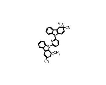 C[C@H]1CC(C#N)=Cc2c1n(-c1cccc(-n3c4c(c5ccccc53)CC(C)(C#N)C=C4)n1)c1ccccc21